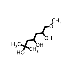 COCC(O)CC(O)CC(C)(C)O